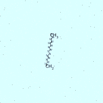 [CH2]CCCC=CCCCCCC=CCCC